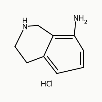 Cl.Nc1cccc2c1CNCC2